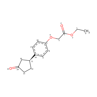 CCOC(=O)COc1ccc([C@H]2CCC(=O)C2)cc1